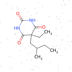 CCC(C)CC1(CC)C(=O)NC(=O)NC1=O